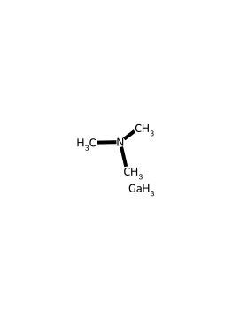 CN(C)C.[GaH3]